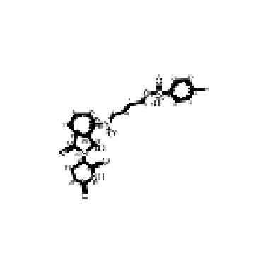 Cc1ccc(S(=O)(=O)OCCCC[S+]([O-])c2cccc3c2C(=O)N(C2CCC(=O)NC2=O)C3=O)cc1